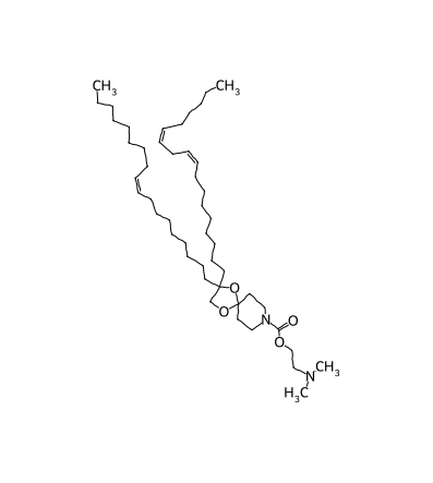 CCCCC/C=C\C/C=C\CCCCCCCCC1(CCCCCCCC/C=C\CCCCCCCC)COC2(CCN(C(=O)OCCN(C)C)CC2)O1